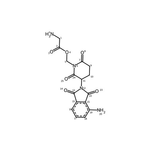 NCC(=O)OCN1C(=O)CCC(N2C(=O)c3cccc(N)c3C2=O)C1=O